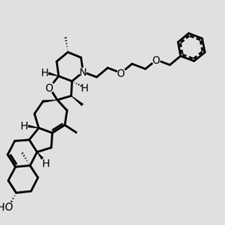 CC1=C2C[C@H]3C(CC=C4C[C@@H](O)CC[C@@]43C)[C@@H]2CC[C@@]2(C1)O[C@@H]1C[C@H](C)CN(CCOCCOCc3ccccc3)[C@H]1[C@H]2C